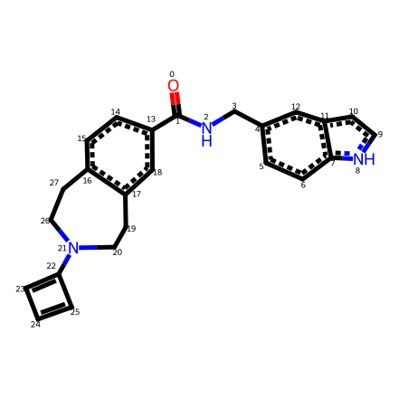 O=C(NCc1ccc2[nH]ccc2c1)c1ccc2c(c1)CCN(C1=CC=C1)CC2